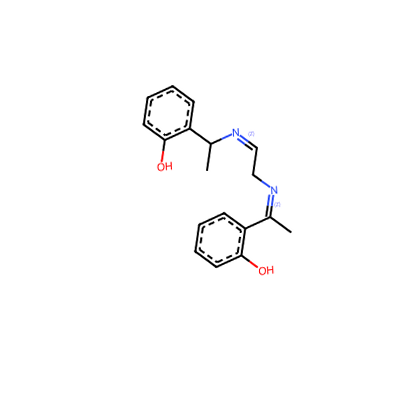 C/C(=N/C/C=N\C(C)c1ccccc1O)c1ccccc1O